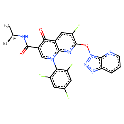 CC[C@H](NC(=O)c1cn(-c2c(F)cc(F)cc2F)c2nc(On3nnc4cccnc43)c(F)cc2c1=O)C(F)(F)F